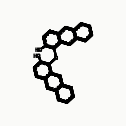 Oc1ccc2cc3ccccc3cc2c1Oc1c(O)ccc2cc3ccccc3cc12